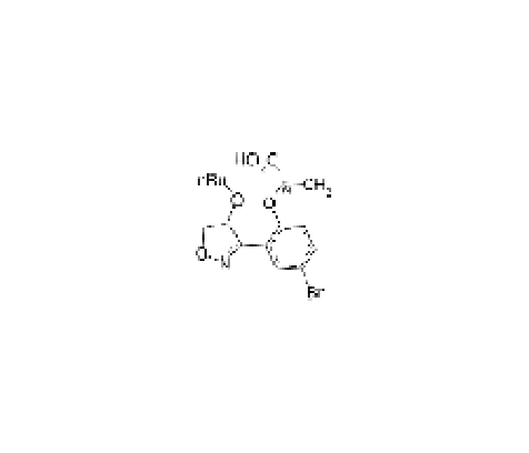 CCCCOC1CON=C1c1cc(Br)ccc1O[C@@H](C)C(=O)O